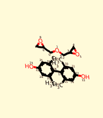 C(OCC1CO1)C1CO1.Cc1cc(O)cc(C)c1-c1c(C)cc(O)cc1C